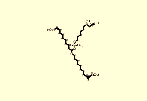 C#CCN(C)CCCCCCO[Si](C)(C)OC(CCCCCCC/C=C\CCCCCCCC)OCCCCCCCCC1CC1CCCCCCCC